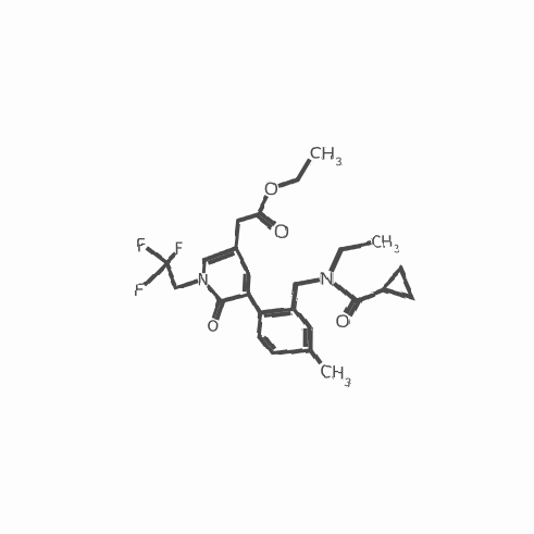 CCOC(=O)Cc1cc(-c2ccc(C)cc2CN(CC)C(=O)C2CC2)c(=O)n(CC(F)(F)F)c1